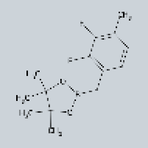 Cc1ccc(CB2OC(C)(C)C(C)(C)O2)c(F)c1F